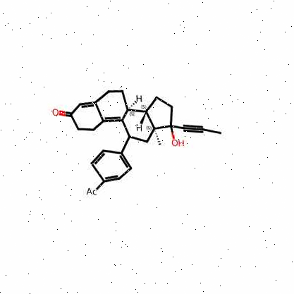 CC#CC1(O)CC[C@H]2[C@@H]3CCC4=CC(=O)CCC4=C3C(c3ccc(C(C)=O)cc3)C[C@@]21C